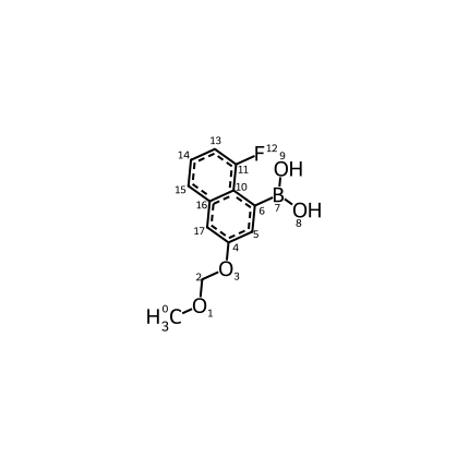 COCOc1cc(B(O)O)c2c(F)cccc2c1